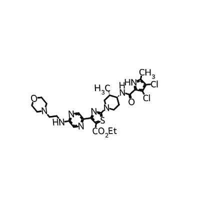 CCOC(=O)c1sc(N2CC[C@@H](NC(=O)c3[nH]c(C)c(Cl)c3Cl)[C@@H](C)C2)nc1-c1cnc(NCCN2CCOCC2)cn1